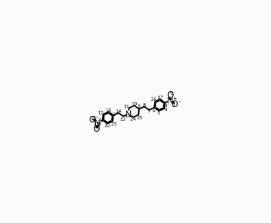 O=[N+]([O-])c1ccc(CCC2CCN(CCc3ccc([N+](=O)[O-])cc3)CC2)cc1